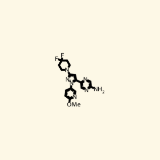 COc1ccc(-n2nc(N3CCC(F)(F)CC3)cc2-c2cnc(N)cn2)cn1